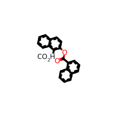 O=C(Oc1ccc2ccccc2c1C(=O)O)c1cccc2ccccc12